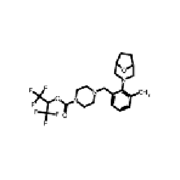 Cc1cccc(CN2CCN(C(=O)OC(C(F)(F)F)C(F)(F)F)CC2)c1N1CC2CCC(C1)O2